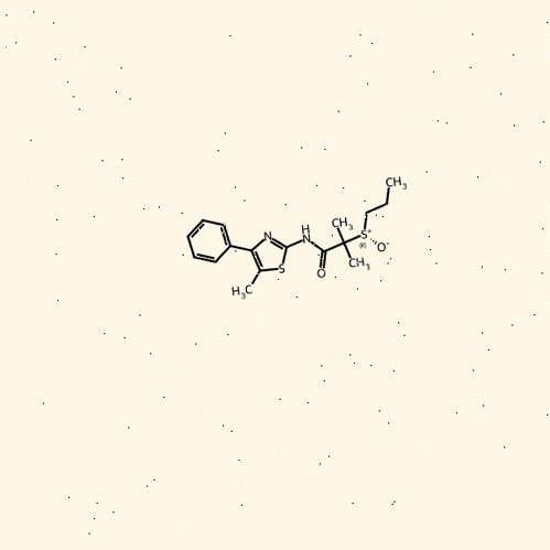 CCC[S@+]([O-])C(C)(C)C(=O)Nc1nc(-c2ccccc2)c(C)s1